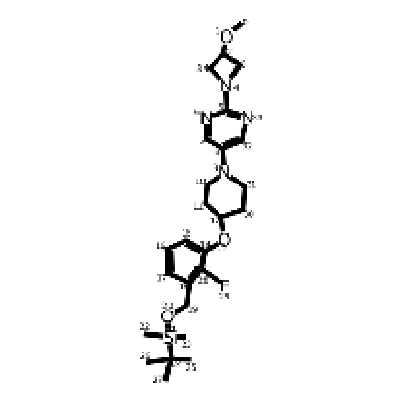 COC1CN(c2ncc(N3CCC(Oc4cccc(CO[Si](C)(C)C(C)(C)C)c4F)CC3)cn2)C1